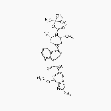 COc1cc(NC(=O)c2ccc(N3C[C@@H](C)N(C(=O)OC(C)(C)C)[C@@H](C)C3)c3ccnnc23)cn2cc(C)nc12